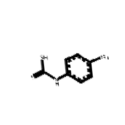 CC(C)(C)c1ccc(NC(=S)S)cc1